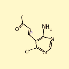 CC(=O)/C=C/c1c(N)ncnc1Cl